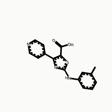 Cc1cccc(Nc2nc(-c3ccncc3)c(C(=O)O)s2)c1